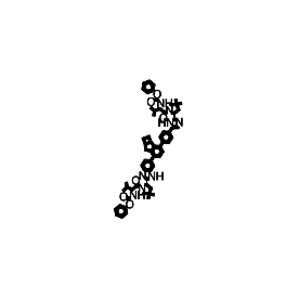 CC(C)C(NC(=O)Oc1ccccc1)C(=O)N1CC(C)(C)C[C@H]1c1ncc(-c2ccc(-c3ccc(-c4ccc5nc([C@@H]6CC(C)(C)CN6C(=O)[C@@H](NC(=O)Oc6ccccc6)C(C)C)[nH]c5c4)c4c3C3CCC3C4)cc2)[nH]1